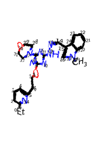 CCc1cccc(CCOc2nc(N/N=C\c3cn(C)c4ccccc34)nc(N3CCOCC3)n2)n1